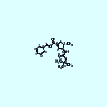 C[C@H]1CN(C(=O)OCc2ccccc2)C[C@@H]1NC(=O)OC(C)(C)C